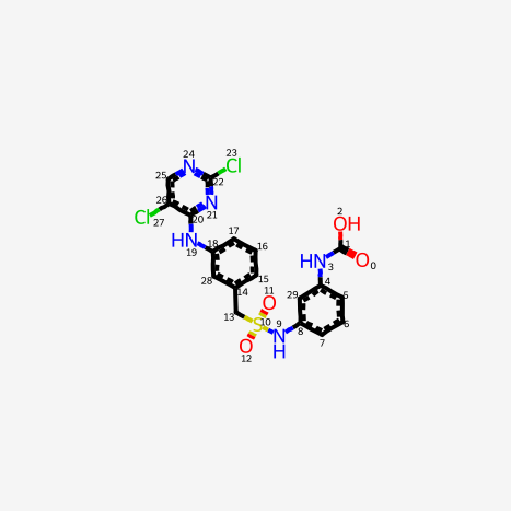 O=C(O)Nc1cccc(NS(=O)(=O)Cc2cccc(Nc3nc(Cl)ncc3Cl)c2)c1